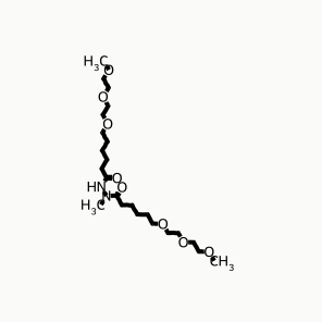 COCCOCCOCCCCCC(=O)NN(C)C(=O)CCCCCOCCOCCOC